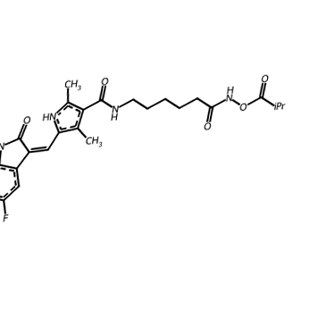 Cc1[nH]c(/C=C2\C(=O)Nc3ccc(F)cc32)c(C)c1C(=O)NCCCCCC(=O)NOC(=O)C(C)C